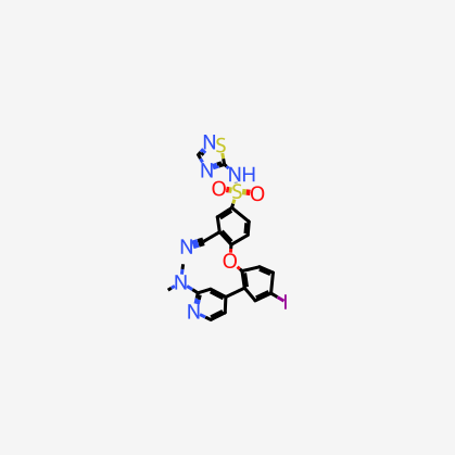 CN(C)c1cc(-c2cc(I)ccc2Oc2ccc(S(=O)(=O)Nc3ncns3)cc2C#N)ccn1